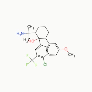 COc1cccc(C2CCCC(C(C)(C)N)C2(O)c2ccc(Cl)c(C(F)(F)F)c2)c1